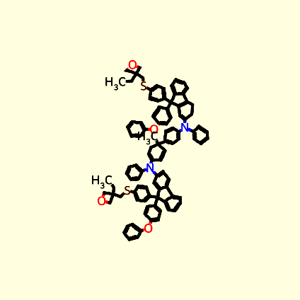 CCC1(CSc2ccc(C3(c4ccc(Oc5ccccc5)cc4)C4=C(CCC(N(c5ccccc5)c5ccc(C6(C)C=CC(N(c7ccccc7)c7ccc8c(c7)C(c7ccc(Oc9ccccc9)cc7)(c7ccc(SCC9(CC)COC9)cc7)c7ccccc7-8)=CC6)cc5)=C4)c4ccccc43)cc2)COC1